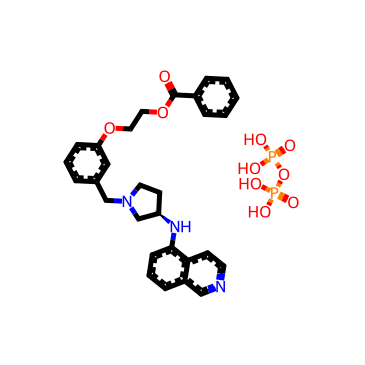 O=C(OCCOc1cccc(CN2CC[C@@H](Nc3cccc4cnccc34)C2)c1)c1ccccc1.O=P(O)(O)OP(=O)(O)O